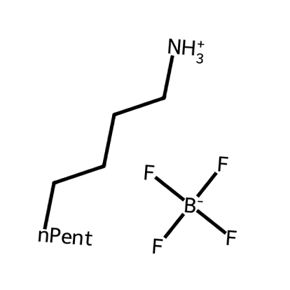 CCCCCCCCC[NH3+].F[B-](F)(F)F